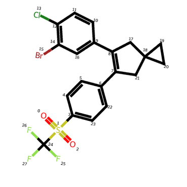 O=S(=O)(c1ccc(C2=C(c3ccc(Cl)c(Br)c3)CC3(CC3)C2)cc1)C(F)(F)F